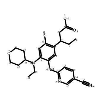 CCC(CC(=O)O)c1cc(Nc2ccc(C#N)cn2)c(N(CC)C2CCOCC2)cc1F